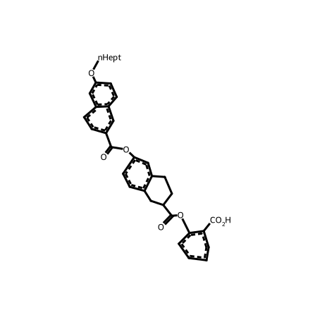 CCCCCCCOc1ccc2cc(C(=O)Oc3ccc4c(c3)CCC(C(=O)Oc3ccccc3C(=O)O)C4)ccc2c1